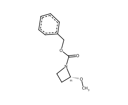 CO[C@@H]1CCN1C(=O)OCc1ccccc1